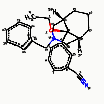 CCO[C@]1(c2cccc(C#N)c2)[C@@H]2CCC[C@H]1CN(Cc1ccccc1)C2